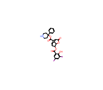 O=C(OC1C2CC3C1OC(=O)C3C2C(=O)OC1(c2ccccc2)CCNCC1)c1cc(I)cc(I)c1O